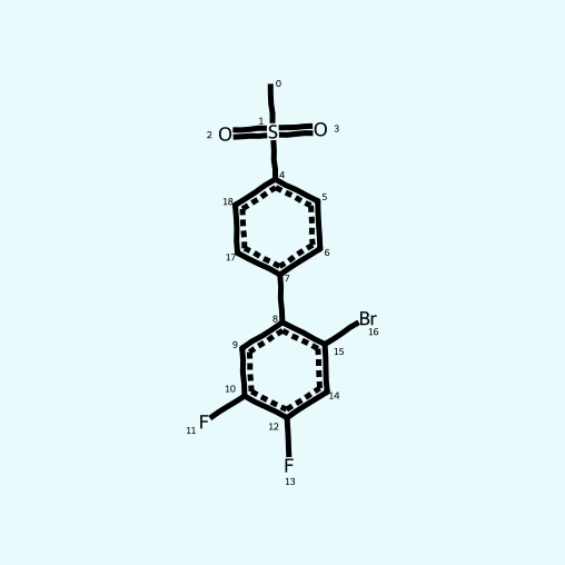 CS(=O)(=O)c1ccc(-c2cc(F)c(F)cc2Br)cc1